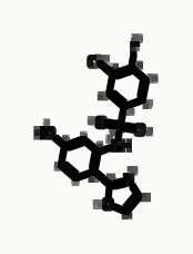 O=S(=O)(Nc1cc(O)ccc1-c1ncco1)c1ccc(F)c(Cl)c1